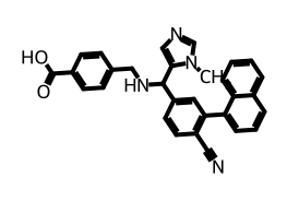 Cn1cncc1C(NCc1ccc(C(=O)O)cc1)c1ccc(C#N)c(-c2cccc3ccccc23)c1